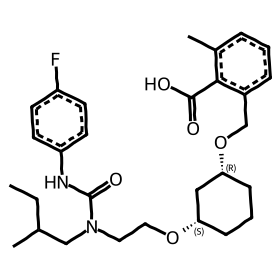 CCC(C)CN(CCO[C@H]1CCC[C@@H](OCc2cccc(C)c2C(=O)O)C1)C(=O)Nc1ccc(F)cc1